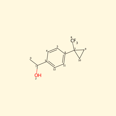 CC(O)c1ccc(C2(C(F)(F)F)CC2)cc1